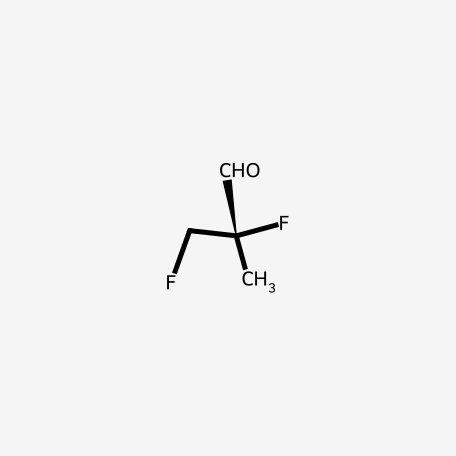 C[C@](F)(C=O)CF